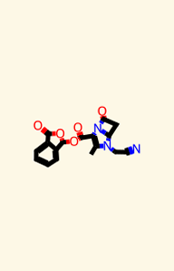 CC1=C(C(=O)OC2OC(=O)c3ccccc32)N2C(=O)CC2N1CC#N